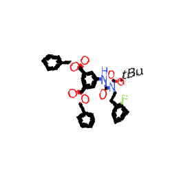 CC(C)(C)OC(=O)N(CCc1ccccc1F)C(=O)Nc1cc(C(=O)OCc2ccccc2)cc(C(=O)OCc2ccccc2)c1